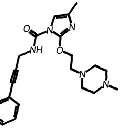 Cc1cn(C(=O)NCC#Cc2ccccc2)c(OCCN2CCN(C)CC2)n1